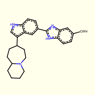 COc1ccc2[nH]c(-c3ccc4[nH]cc(C5CCC6CCCCN6CC5)c4c3)nc2c1